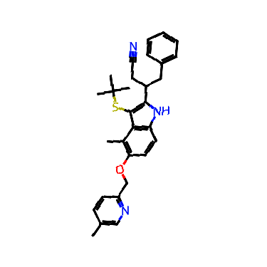 Cc1ccc(COc2ccc3[nH]c(C(CC#N)Cc4ccccc4)c(SC(C)(C)C)c3c2C)nc1